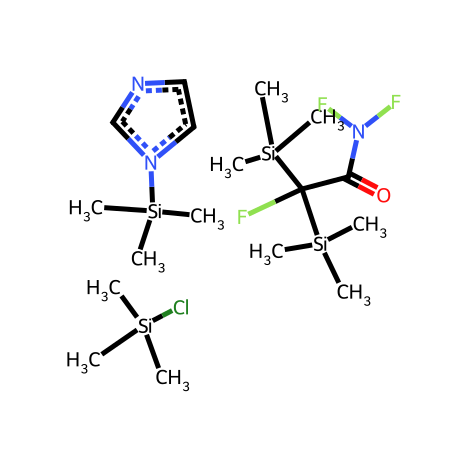 C[Si](C)(C)C(F)(C(=O)N(F)F)[Si](C)(C)C.C[Si](C)(C)Cl.C[Si](C)(C)n1ccnc1